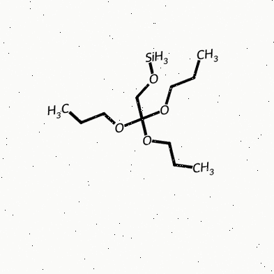 CCCOC(CO[SiH3])(OCCC)OCCC